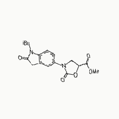 CCC(C)N1C(=O)Cc2cc(N3CC(C(=O)OC)OC3=O)ccc21